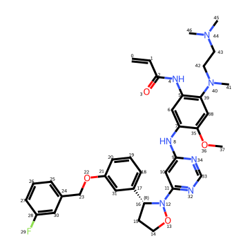 C=CC(=O)Nc1cc(Nc2cc(N3OCC[C@@H]3c3cccc(OCc4cccc(F)c4)c3)ncn2)c(OC)cc1N(C)CCN(C)C